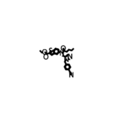 CCCCC(=O)N(Cc1cncn1Cc1ccc(C#N)cc1)c1ccc2sc(C(=O)OCC)cc2c1